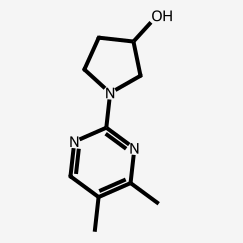 Cc1cnc(N2CCC(O)C2)nc1C